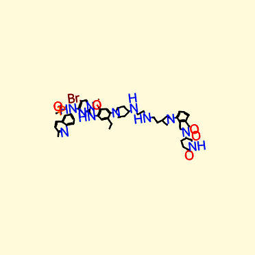 CCc1cc(Nc2ncc(Br)c(Nc3ccc4nc(C)ccc4c3P(C)(C)=O)n2)c(OC)cc1N1CCC(NCCNCCC2CN(c3cccc4c3CN(C3CCC(=O)NC3=O)C4=O)C2)CC1